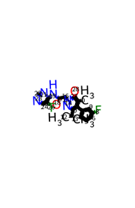 Cc1c(-c2cccc(F)c2)c(C(C)C)nn(CC(=O)Nc2ncncc2F)c1=O